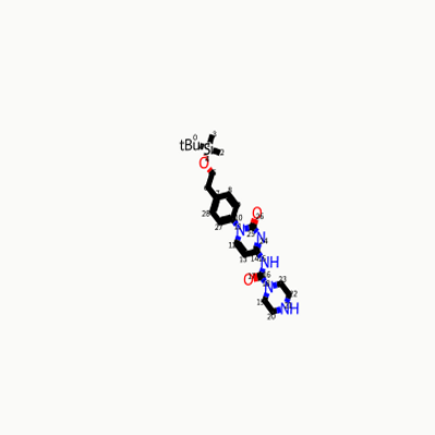 CC(C)(C)[Si](C)(C)OCCc1ccc(-n2ccc(NC(=O)N3CCNCC3)nc2=O)cc1